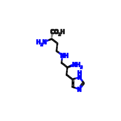 N[C@H](CNCC[C@H](N)C(=O)O)Cc1cnc[nH]1